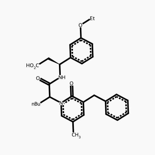 CCCCC(C(=O)N[C@@H](CC(=O)O)c1cccc(OCC)c1)n1cc(C)cc(Cc2ccccc2)c1=O